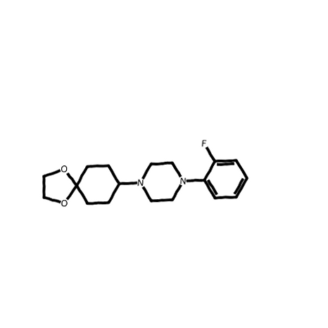 Fc1ccccc1N1CCN(C2CCC3(CC2)OCCO3)CC1